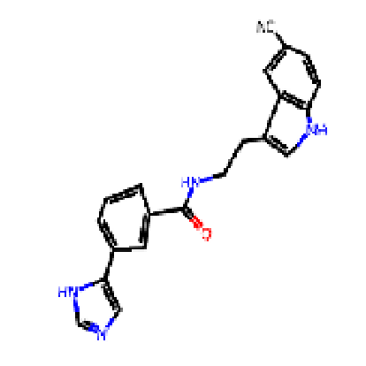 N#Cc1ccc2[nH]cc(CCNC(=O)c3cccc(-c4cnc[nH]4)c3)c2c1